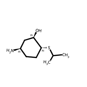 CC(C)S[C@@H]1CC[C@@H](N)C[C@H]1O